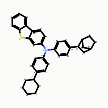 c1ccc2c(c1)sc1cc(N(c3ccc(C4CCCCC4)cc3)c3ccc(C4CC5CCC4C5)cc3)ccc12